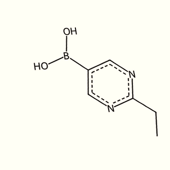 CCc1ncc(B(O)O)cn1